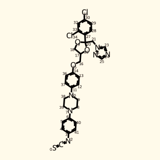 S=C=Nc1ccc(N2CCN(c3ccc(OCC4COC(Cn5cncn5)(c5ccc(Cl)cc5Cl)O4)cc3)CC2)cc1